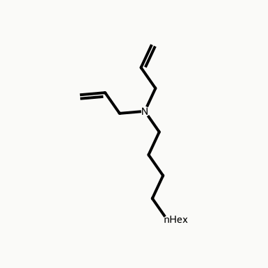 C=CCN(CC=C)CCCCC[CH]CCCC